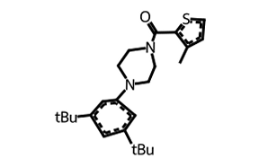 Cc1ccsc1C(=O)N1CCN(c2cc(C(C)(C)C)cc(C(C)(C)C)c2)CC1